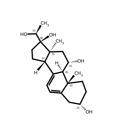 C[C@H](O)[C@@]1(O)CC[C@H]2C3=CC=C4C[C@@H](O)CC[C@@]4(C)[C@@H]3[C@@H](O)C[C@@]21C